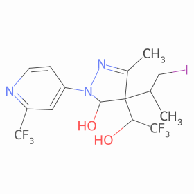 CC1=NN(c2ccnc(C(F)(F)F)c2)C(O)C1(C(C)CI)C(O)C(F)(F)F